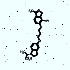 CCCc1c(OCCCOc2ccc3c(c2)CC[C@@H]3C(C)C(=O)O)ccc2c(C(F)(F)F)noc12